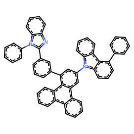 c1ccc(-c2cccc3c2c2ccccc2n3-c2cc(-c3cccc(-c4nc5ccccc5n4-c4ccccc4)c3)c3c4ccccc4c4ccccc4c3c2)cc1